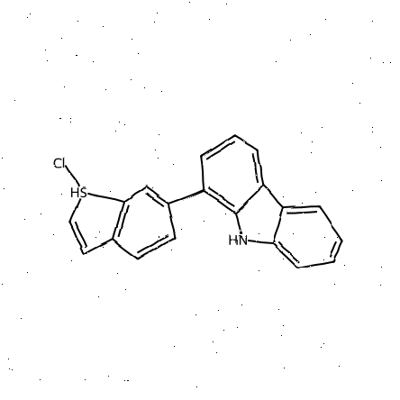 Cl[SH]1C=Cc2ccc(-c3cccc4c3[nH]c3ccccc34)cc21